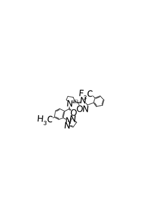 Cc1ccc(C(=O)N2CCC[C@H]2c2nc(-c3ccccc3C(F)(F)F)no2)c(-n2nccn2)c1